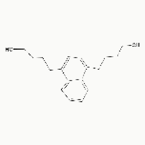 OCCCCc1ccc(CCCCO)c2ccccc12